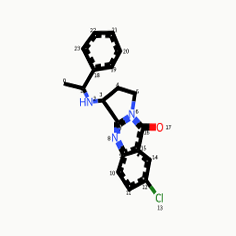 CC(NC1CCn2c1nc1ccc(Cl)cc1c2=O)c1ccccc1